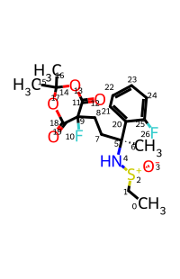 CC[S@@+]([O-])N[C@@](C)(CCC1(F)C(=O)OC(C)(C)OC1=O)c1ccccc1F